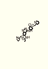 C=CC(=O)Nc1cc2c(Nc3ccc(OCc4ccccn4)c(Cl)c3)ncnc2cc1OCC1CCCN1C